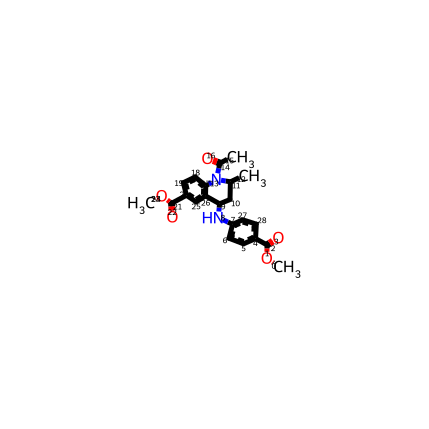 COC(=O)c1ccc(NC2CC(C)N(C(C)=O)c3ccc(C(=O)OC)cc32)cc1